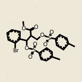 COC(=O)C(COS(=O)(=O)c1ccc(C)cc1)C(OS(=O)(=O)c1ccc(C)cc1)c1ccccc1Br